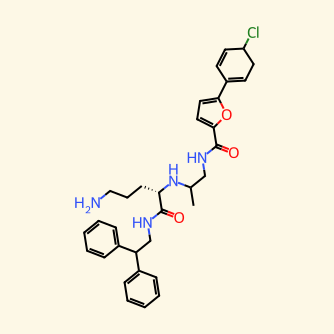 CC(CNC(=O)c1ccc(C2=CCC(Cl)C=C2)o1)N[C@@H](CCCN)C(=O)NCC(c1ccccc1)c1ccccc1